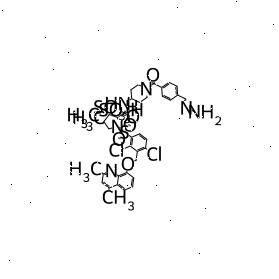 CS(=O)(=O)O.CS(=O)(=O)O.Cc1cc(C)c2cccc(OCc3c(Cl)ccc(S(=O)(=O)N4CCC[C@H]4C(=O)NC4CCN(C(=O)c5ccc(C=NN)cc5)CC4)c3Cl)c2n1